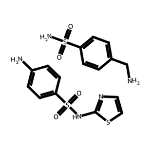 NCc1ccc(S(N)(=O)=O)cc1.Nc1ccc(S(=O)(=O)Nc2nccs2)cc1